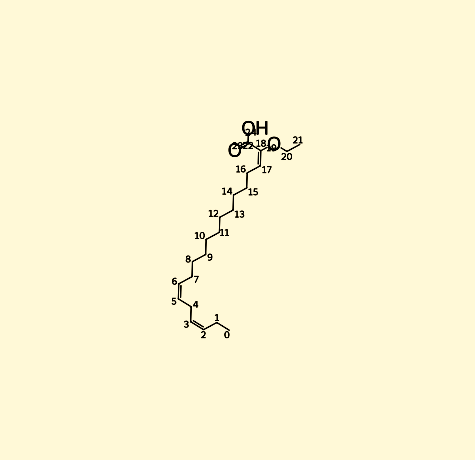 CC/C=C\C/C=C\CCCCCCCCCC/C=C(/OCC)C(=O)O